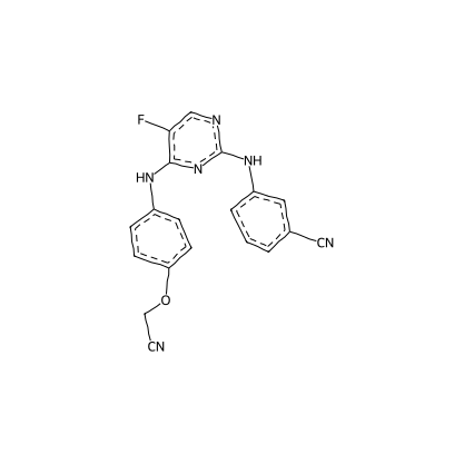 N#CCOc1ccc(Nc2nc(Nc3cccc(C#N)c3)ncc2F)cc1